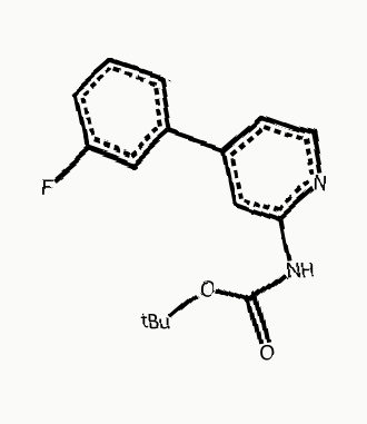 CC(C)(C)OC(=O)Nc1cc(-c2[c]ccc(F)c2)ccn1